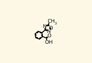 Cc1nc(-c2ccccc2C(=O)O)no1